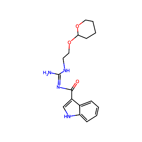 NC(=NC(=O)c1c[nH]c2ccccc12)NCCOC1CCCCO1